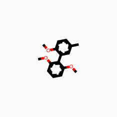 COc1ccc(C)cc1-c1c(OC)cccc1OC